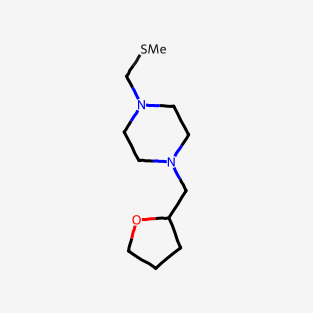 CSCN1CCN(CC2CCCO2)CC1